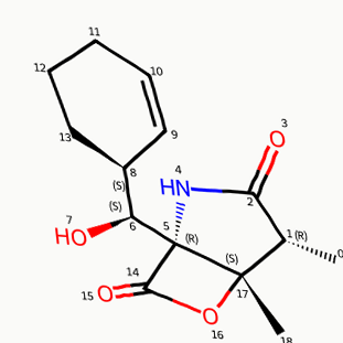 C[C@H]1C(=O)N[C@@]2([C@@H](O)[C@@H]3C=CCCC3)C(=O)O[C@@]12C